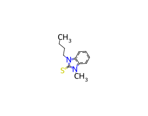 CCCCn1c(=S)n(C)c2ccccc21